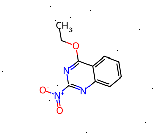 CCOc1nc([N+](=O)[O-])nc2ccccc12